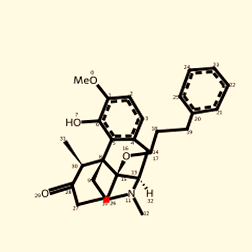 COc1ccc2c(c1O)[C@]13CCN(C)[C@H](C2)[C@]1(OCCCc1ccccc1)CCC(=O)[C@H]3C